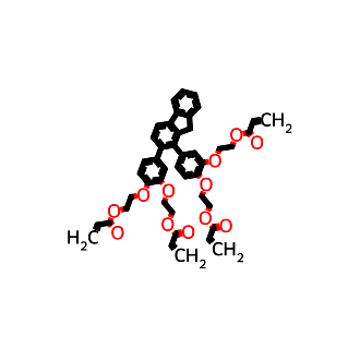 C=CC(=O)OCCOc1ccc(-c2ccc3c(c2-c2ccc(OCCOC(=O)C=C)c(OCCOC(=O)C=C)c2)Cc2ccccc2-3)cc1OCCOC(=O)C=C